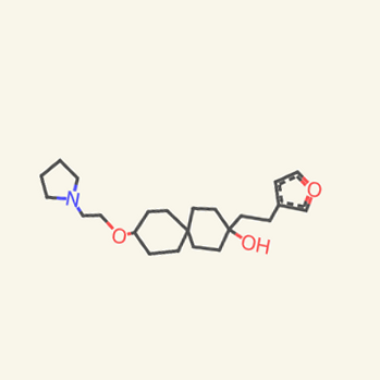 OC1(CCc2ccoc2)CCC2(CCC(OCCN3CCCC3)CC2)CC1